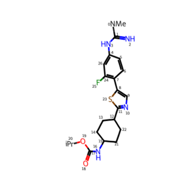 CNC(=N)Nc1ccc(-c2cnc(C3CCC(NC(=O)OC(C)C)CC3)s2)c(F)c1